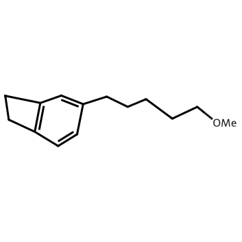 COCCCCCc1ccc2c(c1)CC2